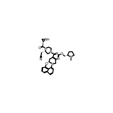 CN1CCC[C@H]1COc1nc2c(c(N3CCN(C(=O)[C@H]4CN4)[C@@H](CC#N)C3)n1)CCN(c1cccc3cccc(Cl)c13)C2